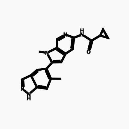 Cc1cc2[nH]ncc2cc1-c1cc2cc(NC(=O)C3CC3)ncc2n1C